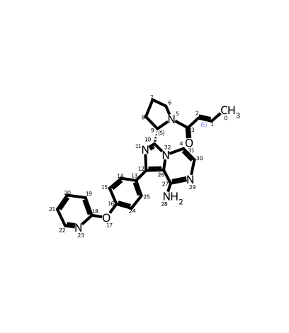 C/C=C/C(=O)N1CCC[C@H]1c1nc(-c2ccc(Oc3ccccn3)cc2)c2c(N)nccn12